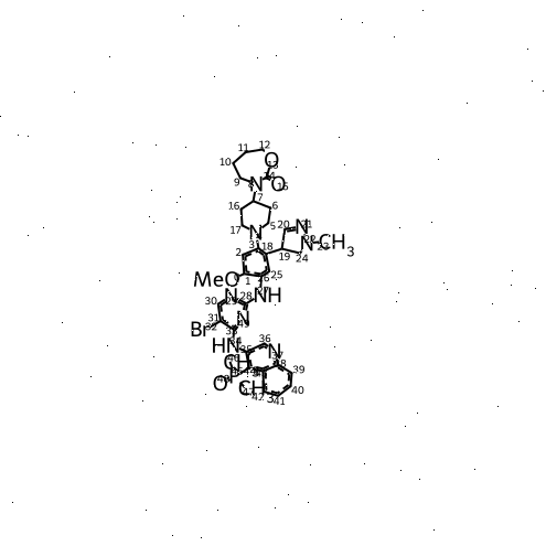 COc1cc(N2CCC(N3CCCCOC3=O)CC2)c(C2C=NN(C)C2)cc1Nc1ncc(Br)c(Nc2cnc3ccccc3c2P(C)(C)=O)n1